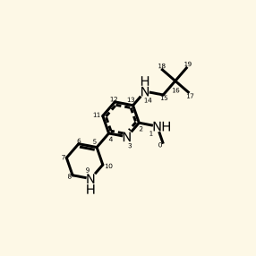 CNc1nc(C2=CCCNC2)ccc1NCC(C)(C)C